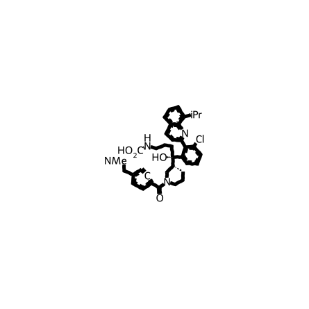 CNCc1ccc(C(=O)N2CCC[C@@H]([C@@](O)(CCCNC(=O)O)c3cccc(Cl)c3-c3ccc4cccc(C(C)C)c4n3)C2)cc1